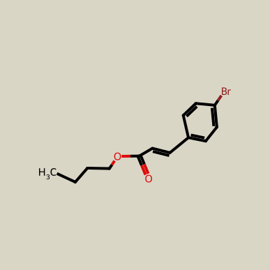 CCCCOC(=O)/C=C/c1ccc(Br)cc1